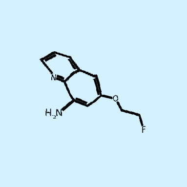 Nc1cc(OCCF)cc2cccnc12